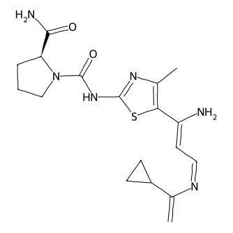 C=C(/N=C\C=C(/N)c1sc(NC(=O)N2CCC[C@H]2C(N)=O)nc1C)C1CC1